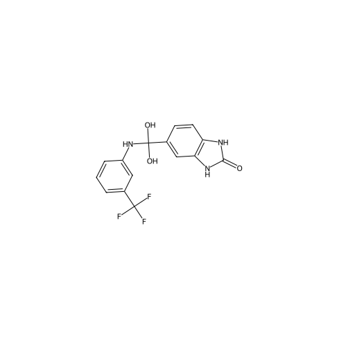 O=c1[nH]c2ccc(C(O)(O)Nc3cccc(C(F)(F)F)c3)cc2[nH]1